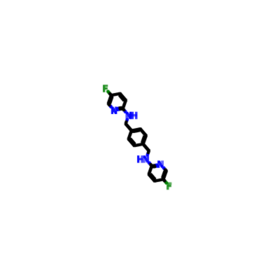 Fc1ccc(NCc2ccc(CNc3ccc(F)cn3)cc2)nc1